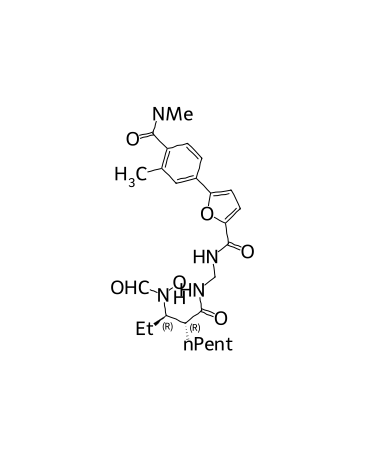 [CH2]NC(=O)c1ccc(-c2ccc(C(=O)NCNC(=O)[C@H](CCCCC)[C@@H](CC)N(O)C=O)o2)cc1C